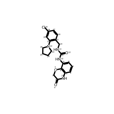 O=C1COc2c(cccc2NC(=O)NCc2ccc(Cl)cc2N2CCCC2)N1